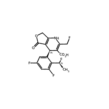 C[C@H](F)c1c(F)cc(F)cc1[C@@H]1C(C(=O)O)=C(CF)NC2=C1C(=O)OC2